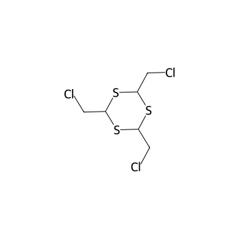 ClCC1SC(CCl)SC(CCl)S1